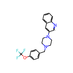 FC(F)(F)Oc1ccc(CN2CCN(c3[c]nc4ccccc4c3)CC2)cc1